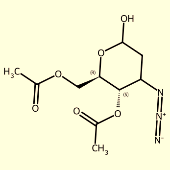 CC(=O)OC[C@H]1OC(O)CC(N=[N+]=[N-])[C@@H]1OC(C)=O